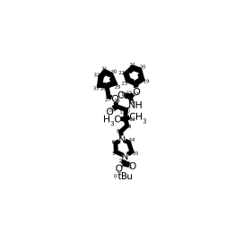 CC(C)(C)OC(=O)N1CCN(CCC(C)(C)[C@@H](NC(=O)Oc2ccccc2)C(=O)OCc2ccccc2)CC1